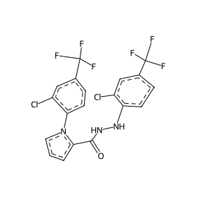 O=C(NNc1ccc(C(F)(F)F)cc1Cl)c1cccn1-c1ccc(C(F)(F)F)cc1Cl